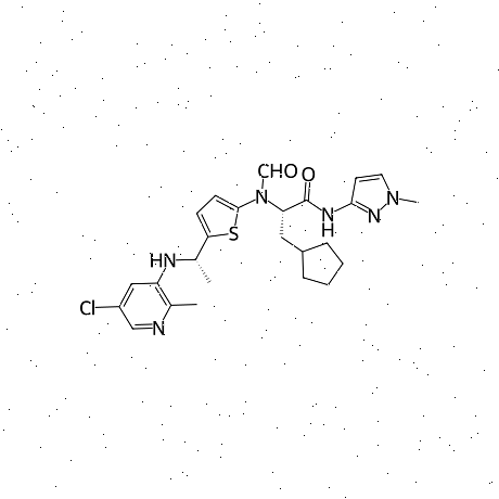 Cc1ncc(Cl)cc1N[C@@H](C)c1ccc(N(C=O)[C@@H](CC2CCCC2)C(=O)Nc2ccn(C)n2)s1